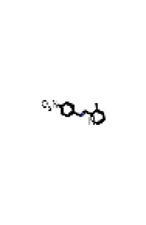 Cc1cccnc1/C=C/c1ccc([N+](=O)[O-])cc1